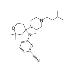 CC(C)CCN1CCN(C2(N(C)c3cccc(C#N)n3)CCOC(C)(C)C2)CC1